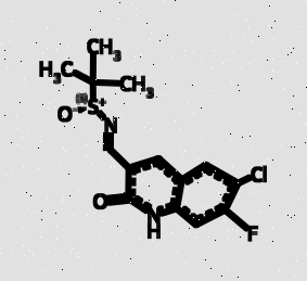 CC(C)(C)[S@@+]([O-])N=Cc1cc2cc(Cl)c(F)cc2[nH]c1=O